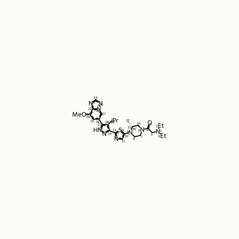 CCN(CC)CC(=O)N1CCN(c2cnc(-c3n[nH]c(-c4cc(OC)c5ncnn5c4)c3C(C)C)s2)[C@H](C)C1